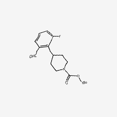 CC(C)(C)OC(=O)N1CCC(c2c(F)cccc2C=O)CC1